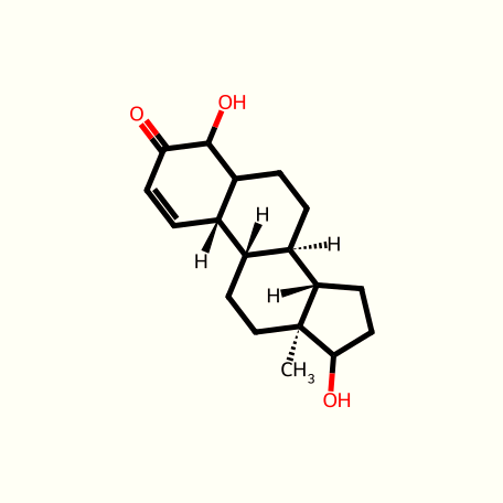 C[C@]12CC[C@H]3[C@@H](CCC4C(O)C(=O)C=C[C@H]43)[C@@H]1CCC2O